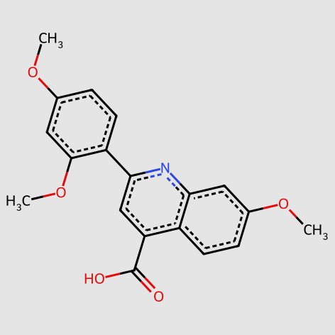 COc1ccc(-c2cc(C(=O)O)c3ccc(OC)cc3n2)c(OC)c1